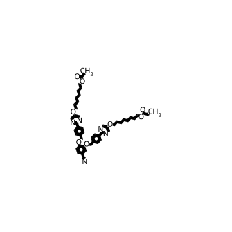 C=CC(=O)OCCCCCCCCOc1cnc(-c2ccc(COc3ccc(C#N)cc3OCc3ccc(-c4ncc(OCCCCCCCCOC(=O)C=C)cn4)cc3)cc2)nc1